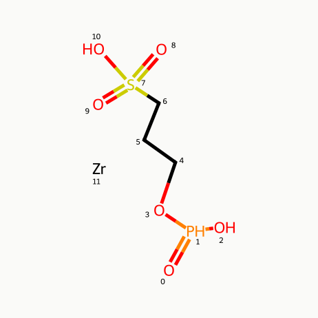 O=[PH](O)OCCCS(=O)(=O)O.[Zr]